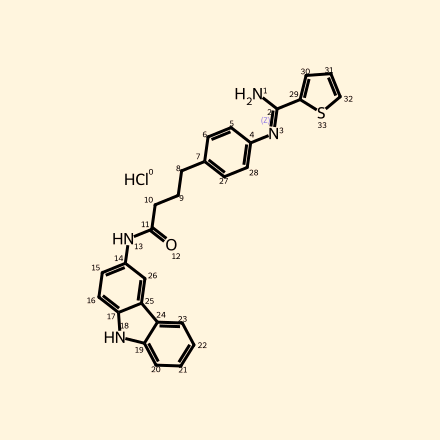 Cl.N/C(=N\c1ccc(CCCC(=O)Nc2ccc3[nH]c4ccccc4c3c2)cc1)c1cccs1